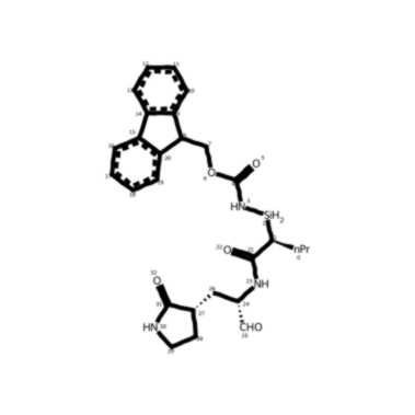 CCC[C@H]([SiH2]NC(=O)OCC1c2ccccc2-c2ccccc21)C(=O)N[C@H](C=O)C[C@@H]1CCNC1=O